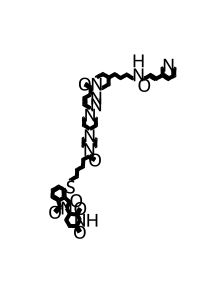 O=C(/C=C/c1cccnc1)NCCCCC1CCN(C(=O)c2ccc(N3CCC(N4CCN(C(=O)CCCCCSc5cccc6c5C(=O)N(C5CCC(=O)NC5=O)C6=O)CC4)CC3)nn2)CC1